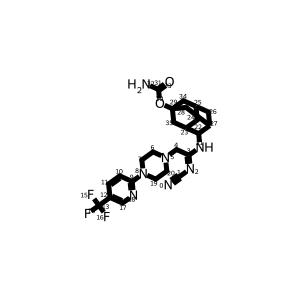 N#C/N=C(\CN1CCN(c2ccc(C(F)(F)F)cn2)CC1)NC1C2CC3CC1CC(OC(N)=O)(C3)C2